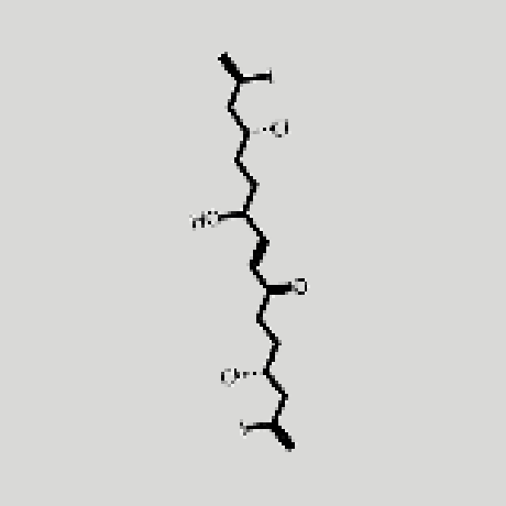 C=C(I)C[C@H](Cl)CCC(=O)/C=C/C(O)CC[C@@H](Cl)CC(=C)I